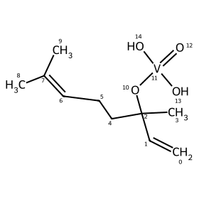 C=CC(C)(CCC=C(C)C)[O][V](=[O])([OH])[OH]